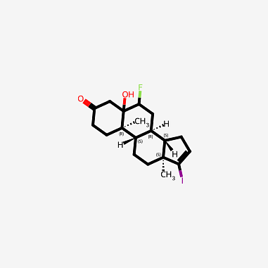 C[C@]12CC[C@H]3[C@@H](CC(F)C4(O)CC(=O)CC[C@]34C)[C@@H]1CC=C2I